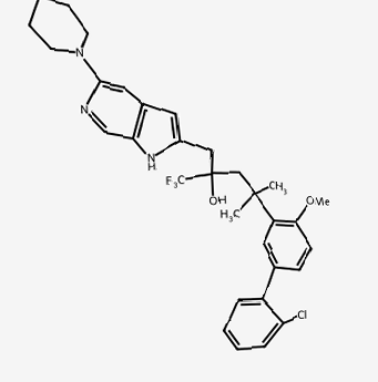 COc1ccc(-c2ccccc2Cl)cc1C(C)(C)CC(O)(Cc1cc2cc(N3CCCCC3)ncc2[nH]1)C(F)(F)F